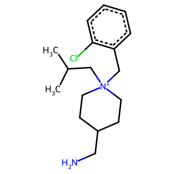 CC(C)C[N+]1(Cc2ccccc2Cl)CCC(CN)CC1